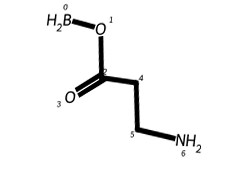 BOC(=O)CCN